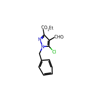 CCOC(=O)c1nn(Cc2ccccc2)c(Cl)c1C=O